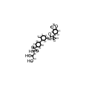 Cc1ccc(NC(=O)C2(c3ccc4c(c3)OCO4)CC2)cc1-c1ccc(S(=O)(=O)NC[C@H](O)CO)cc1